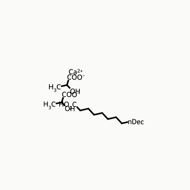 CC(O)C(=O)[O-].CC(O)C(=O)[O-].CCCCCCCCCCCCCCCCCC(=O)O.[Ca+2]